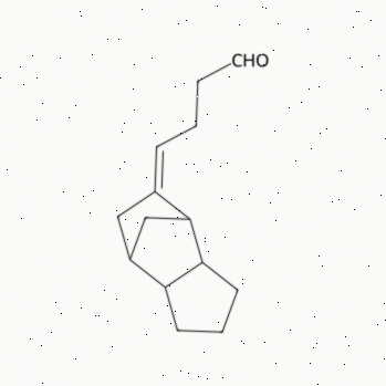 O=CCC/C=C1/CC2CC1C1CCCC21